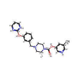 C[C@@H]1CN(Cc2cccc(Oc3ncccn3)c2)CCN1C(=O)Oc1cncc(C#N)c1